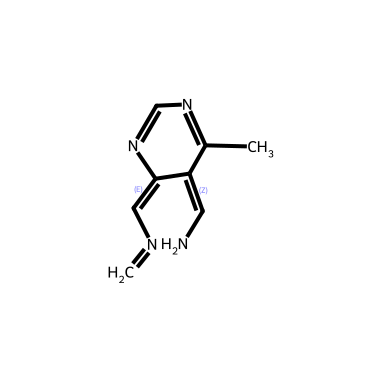 C=N/C=c1/ncnc(C)/c1=C/N